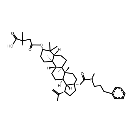 C=C(C)[C@@H]1CC[C@]2(CC(=O)N(C)CCCc3ccccc3)CC[C@]3(C)[C@H](CC[C@@H]4[C@@]5(C)CC[C@H](OC(=O)CC(C)(C)C(=O)O)C(C)(C)[C@@H]5CC[C@]43C)[C@@H]12